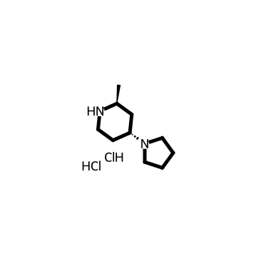 C[C@H]1C[C@H](N2CCCC2)CCN1.Cl.Cl